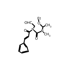 CCOC(C)N(C)C(=O)N(C[C]=O)C(=O)/C=C/c1ccccc1